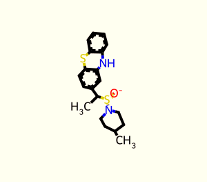 CC1CCN([S+]([O-])C(C)c2ccc3c(c2)Nc2ccccc2S3)CC1